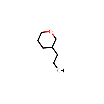 CCCC1CCCOC1